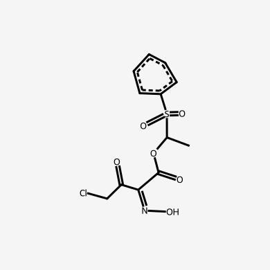 CC(OC(=O)/C(=N\O)C(=O)CCl)S(=O)(=O)c1ccccc1